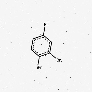 CC(C)c1ccc(Br)cc1Br